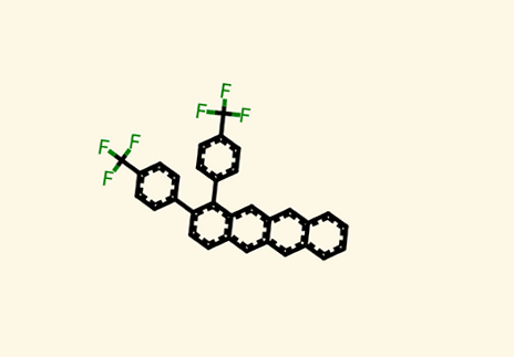 FC(F)(F)c1ccc(-c2ccc3cc4cc5ccccc5cc4cc3c2-c2ccc(C(F)(F)F)cc2)cc1